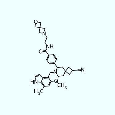 COc1cc(C)c2[nH]ccc2c1CN1CCC2(CC(C#N)C2)CC1c1ccc(C(=O)NCCN2CC3(COC3)C2)cc1